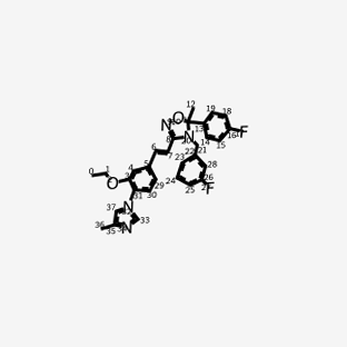 CCOc1cc(/C=C/C2=NOC(C)(c3ccc(F)cc3)N2Cc2cccc(F)c2)ccc1-n1cnc(C)c1